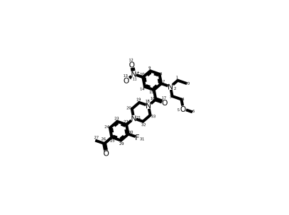 CCN(CCOC)c1ccc([N+](=O)[O-])cc1C(=O)N1CCN(c2ccc(C(C)=O)cc2F)CC1